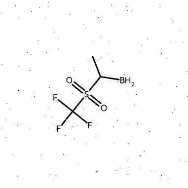 BC(C)S(=O)(=O)C(F)(F)F